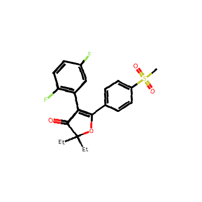 CCC1(CC)OC(c2ccc(S(C)(=O)=O)cc2)=C(c2cc(F)ccc2F)C1=O